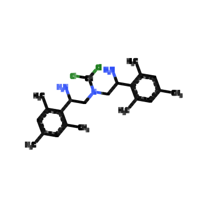 Cc1cc(C)c(C(N)C[N](CC(N)c2c(C)cc(C)cc2C)[Cu]([Cl])[Cl])c(C)c1